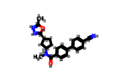 Cc1nnc([C@H]2CC[C@@H](N(C)C(=O)c3ccc(-c4ccc(C#N)cc4)cc3)C2)o1